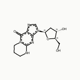 O=c1c2ncn([C@H]3C[C@H](O)[C@@H](CO)O3)c2nc2n1CCCN2